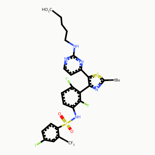 CC(C)(C)c1nc(-c2c(F)ccc(NS(=O)(=O)c3ccc(F)cc3C(F)(F)F)c2F)c(-c2ccnc(NCCCCC(=O)O)n2)s1